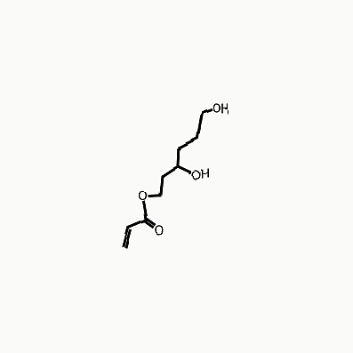 C=CC(=O)OCCC(O)CCCO